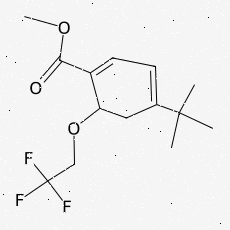 COC(=O)C1=CC=C(C(C)(C)C)CC1OCC(F)(F)F